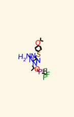 CC(C)Oc1ccc(Sc2nc(N)nc3c2ncn3CC(C)OCPCC(F)(F)F)cc1